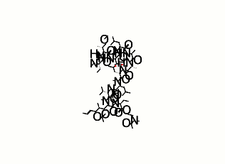 C/C=C/C[C@@H](C)[C@@H](OC(C)=O)[C@@H](C(=O)N[C@@H](CC)C(=O)OCCN(C)C(C)=O)N(C)C(=O)[C@H](C(C)C)N(C)C(=O)[C@H](CC(C)C)N(C)C(=O)[C@H](CC(C)C)N(C)C(=O)[C@@H](C)NC(=O)[C@H](C)NC(=O)[C@H](CC(C)C)N(C)C(=O)[C@@H](NC(=O)[C@H]([C@H](C)COC)N(C)C(=O)[C@H](CC)NC)C(C)C